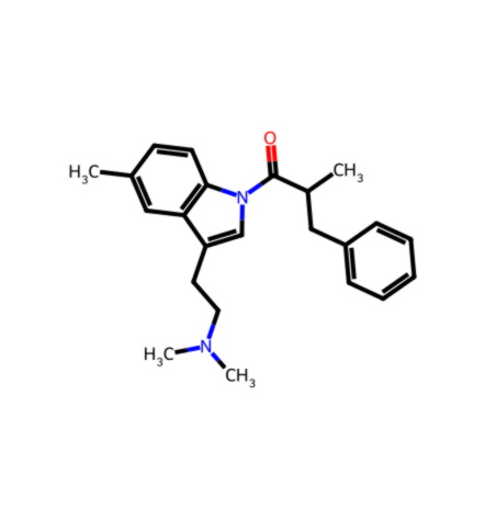 Cc1ccc2c(c1)c(CCN(C)C)cn2C(=O)C(C)Cc1ccccc1